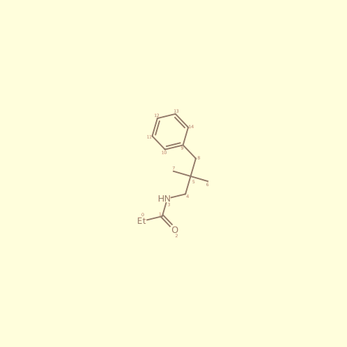 CCC(=O)NCC(C)(C)Cc1ccccc1